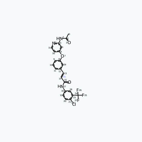 CC(=O)Nc1cc(Oc2cccc(/C=C/C(=O)Nc3ccc(Cl)c(C(F)(F)F)c3)c2)ccn1